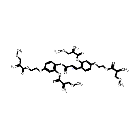 C=C(COC)C(=O)OCCOc1ccc(/C=C/C(=O)Oc2ccc(OCCOC(=O)C(=C)COC)cc2OC(=O)C(=C)COC)c(OC(=O)C(=C)COC)c1